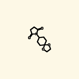 O=C1CCC(=O)N1C1CCC2(CC1)OCCO2